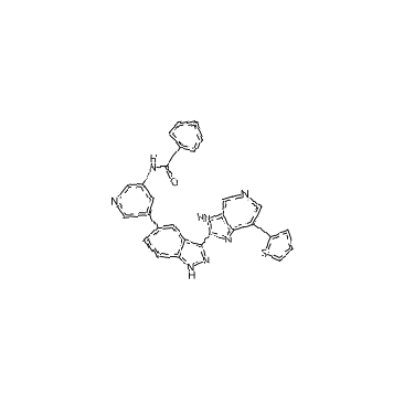 O=C(Nc1cncc(-c2ccc3[nH]nc(-c4nc5c(-c6cccs6)cncc5[nH]4)c3c2)c1)c1ccccc1